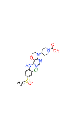 C[S+]([O-])c1ccc(Nc2ncnc3c2OCCN3C2CCN(C(=O)O)CC2)c(Cl)c1